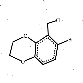 ClCc1c(Br)ccc2c1OCCO2